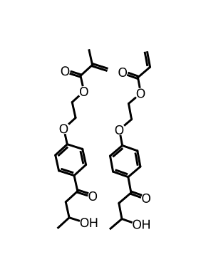 C=C(C)C(=O)OCCOc1ccc(C(=O)CC(C)O)cc1.C=CC(=O)OCCOc1ccc(C(=O)CC(C)O)cc1